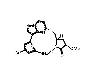 CO[C@@H]1C[C@H]2COc3ccn4ncc(c4n3)-c3cc(cc(C(C)=O)c3)NCCN2C1=O